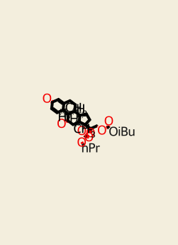 CCCOC(=O)O[C@]1(C(=O)COC(=O)OCC(C)C)CC[C@H]2[C@@H]3CCC4=CC(=O)C=C[C@]4(C)[C@H]3C(=O)C[C@@]21C